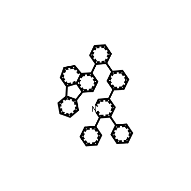 c1ccc(-c2cc(-c3cccc(-c4ccccc4-c4ccc5c6c(cccc46)-c4ccccc4-5)c3)cnc2-c2ccccc2)cc1